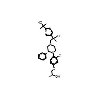 C[C@H](O)COc1ccc(N2CCN(C[C@@](C)(O)c3ccc(C(C)(C)O)cc3)C[C@H]2c2ccccc2)c(Cl)c1